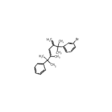 C=C(/C=C(\C)C(C)(C)c1ccccc1)C(C)(C)c1cccc(Br)c1